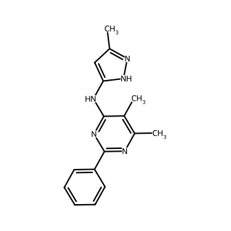 Cc1cc(Nc2nc(-c3ccccc3)nc(C)c2C)[nH]n1